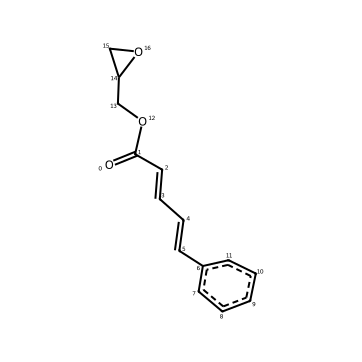 O=C(/C=C/C=C/c1ccccc1)OCC1CO1